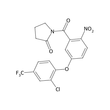 O=C1CCCN1C(=O)c1cc(Oc2ccc(C(F)(F)F)cc2Cl)ccc1[N+](=O)[O-]